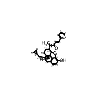 CN(C(=O)/C=C/c1ccco1)C1CC[C@@]2(O)[C@H]3Cc4ccc(O)c5c4[C@@]2(CCN3CC2CC2)C1O5